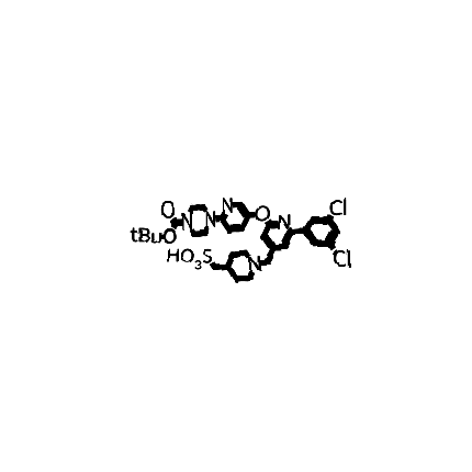 CC(C)(C)OC(=O)N1CCN(c2ccc(Oc3cc(CN4CCC(CS(=O)(=O)O)CC4)cc(-c4cc(Cl)cc(Cl)c4)n3)cn2)CC1